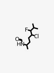 CC(CCC(Cl)C(F)C(C)C)NC=O